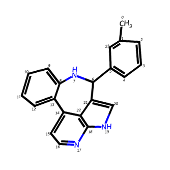 Cc1cccc(C2Nc3ccccc3-c3ccnc4[nH]cc2c34)c1